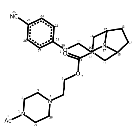 CC(=O)N1CCN(CCOC(=O)N2CC3CCC(C2)N3CCOc2ccc(C#N)cc2)CC1